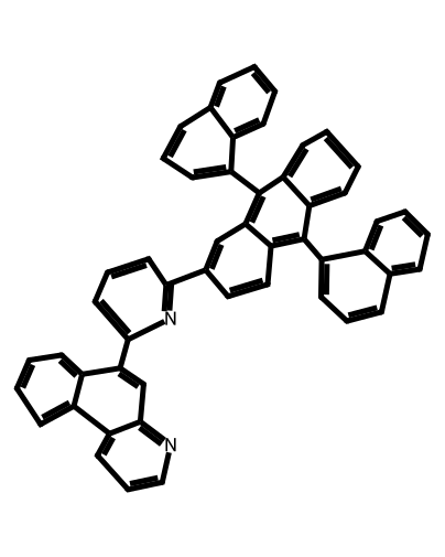 c1cc(-c2ccc3c(-c4cccc5ccccc45)c4ccccc4c(-c4cccc5ccccc45)c3c2)nc(-c2cc3ncccc3c3ccccc23)c1